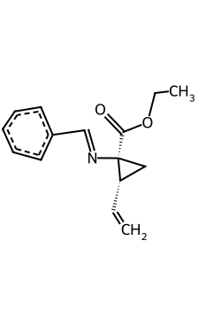 C=C[C@H]1C[C@@]1(/N=C/c1ccccc1)C(=O)OCC